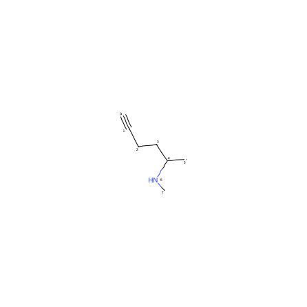 C#CCCC([CH2])NC